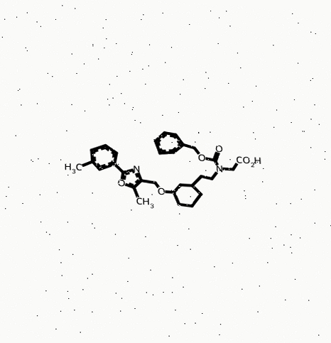 Cc1cccc(-c2nc(COC3CCCC(CCN(CC(=O)O)C(=O)OCc4ccccc4)C3)c(C)o2)c1